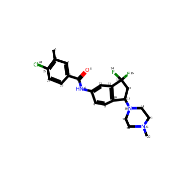 Cc1cc(C(=O)Nc2ccc3c(c2)C(F)(F)CC3N2CCN(C)CC2)ccc1Cl